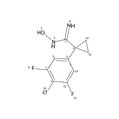 N=C(NO)C1(c2cc(F)c(Cl)c(F)c2)CC1